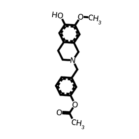 COc1cc2c(cc1O)CCN(Cc1cccc(OC(C)=O)c1)C2